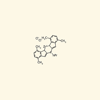 CCCP1C2=Cc3c(C)ccc(C)c3[CH]2[Zr+2][CH]2C1=Cc1c(C)ccc(C)c12.[Cl-].[Cl-]